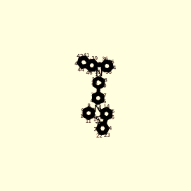 C1=C(c2ccc(N(c3ccccc3)c3cccc4c3sc3ccccc34)cc2)CCC(n2c3ccccc3c3cc4ccccc4cc32)=C1